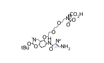 C=N/C(=C\N)C(=O)Nc1cccc(CN(C)C(=O)OC(C)(C)C)c1OCCOCCOCCN(CC(=O)O)[SH](=O)=O